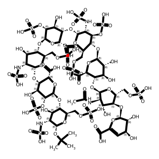 CC(=O)N[C@H]1[C@@H](O[C@H]2[C@H](O)[C@@H](O)[C@H](O[C@H]3[C@H](OS(=O)(=O)O)[C@@H](NS(=O)(=O)O)[C@@H](O[C@H]4[C@H](O)[C@@H](OS(=O)(=O)O)[C@H](O[C@H]5[C@H](O)[C@@H](NS(=O)(=O)O)[C@@H](O[C@H]6[C@H](O)[C@@H](OS(=O)(=O)O)[C@H](O[C@H]7[C@H](O)[C@@H](NS(=O)(=O)O)[C@@H](OC(C)(C)C)O[C@@H]7COS(=O)(=O)O)O[C@H]6C(=O)O)O[C@@H]5COS(=O)(=O)O)O[C@H]4C(=O)O)O[C@@H]3COS(=O)(=O)O)O[C@@H]2C(=O)O)O[C@H](COS(=O)(=O)O)[C@@H](O[C@@H]2OC(C(=O)O)=C[C@H](O)[C@H]2O)[C@@H]1O